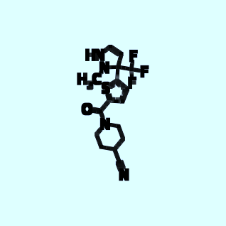 CN1NC=CC1(c1ccc(C(=O)N2CCC(C#N)CC2)s1)C(F)(F)F